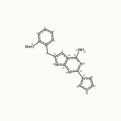 COc1ccccc1Cn1cc2c(N)nc(-c3ccsn3)nc2n1